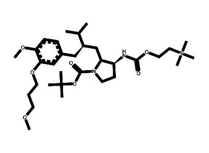 COCCCOc1cc(C[C@H](CC2[C@@H](NC(=O)OCC[Si](C)(C)C)CCN2C(=O)OC(C)(C)C)C(C)C)ccc1OC